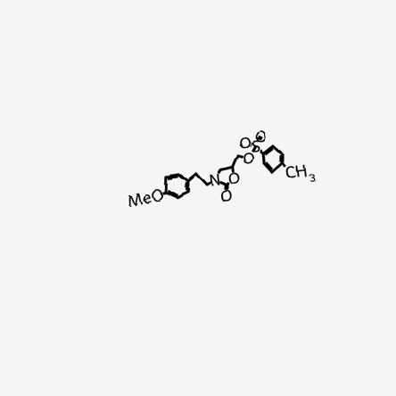 COc1ccc(CCN2CC(COS(=O)(=O)c3ccc(C)cc3)OC2=O)cc1